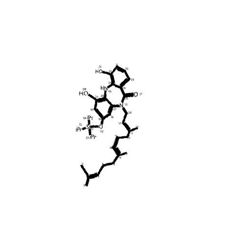 CC(C)=CCC/C(C)=C/CC/C(C)=C/CN1C(=O)c2cccc(O)c2Nc2c(O)cc(O[Si](C(C)C)(C(C)C)C(C)C)cc21